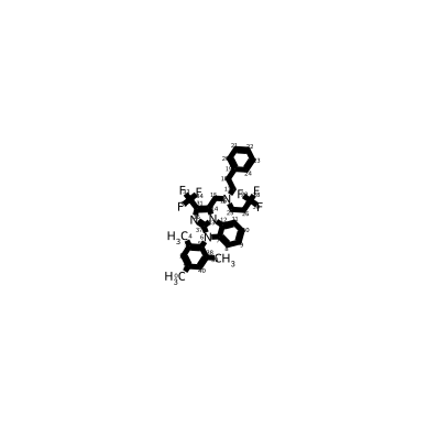 Cc1cc(C)c(-n2c3ccccc3n3c(CN(CCc4ccccc4)CCC(F)(F)F)c(C(F)(F)F)nc23)c(C)c1